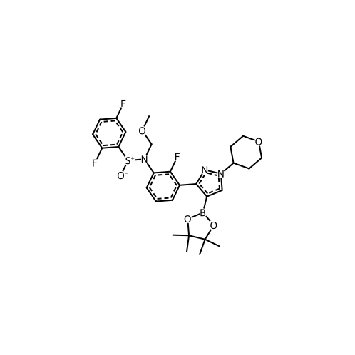 COCN(c1cccc(-c2nn(C3CCOCC3)cc2B2OC(C)(C)C(C)(C)O2)c1F)[S+]([O-])c1cc(F)ccc1F